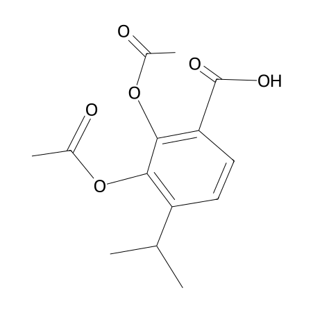 CC(=O)Oc1c(C(=O)O)ccc(C(C)C)c1OC(C)=O